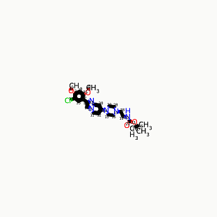 COc1cc(OC)c(-c2cn3ccc(N4CCN(CCNC(=O)OC(C)(C)C)CC4)cc3n2)cc1Cl